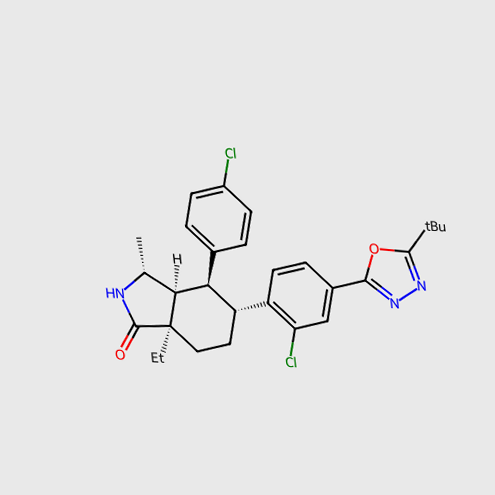 CC[C@@]12CC[C@@H](c3ccc(-c4nnc(C(C)(C)C)o4)cc3Cl)[C@H](c3ccc(Cl)cc3)[C@@H]1[C@@H](C)NC2=O